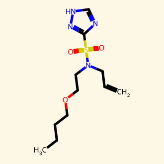 C=CCN(CCOCCCC)S(=O)(=O)c1nc[nH]n1